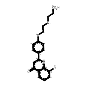 O=C(O)CCOCCOc1ccc(-c2cc(=O)c3cccc(Cl)c3o2)cc1